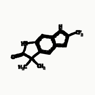 CC1(C)C(=O)Nc2cc3[nH]c(C(F)(F)F)cc3cc21